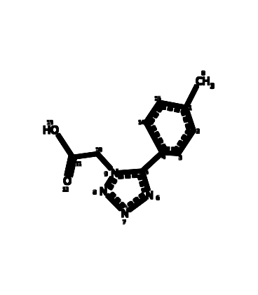 Cc1ccc(-c2nnnn2CC(=O)O)cc1